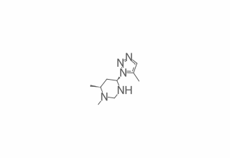 Cc1cnnn1[C@@H]1C[C@H](C)N(C)CN1